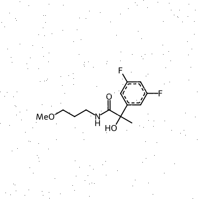 COCCCNC(=O)C(C)(O)c1cc(F)cc(F)c1